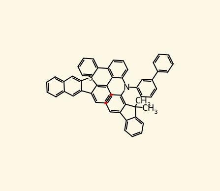 CC1(C)c2ccccc2-c2cccc(N(c3cccc(-c4ccccc4)c3)c3cccc(-c4ccccc4)c3-c3cccc4c3sc3cc5ccccc5cc34)c21